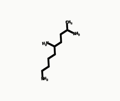 CC(N)CCC(N)CCCCN